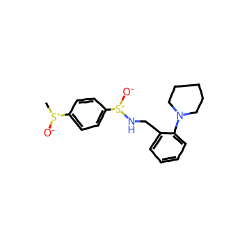 C[S+]([O-])c1ccc([S+]([O-])NCc2ccccc2N2CCCCC2)cc1